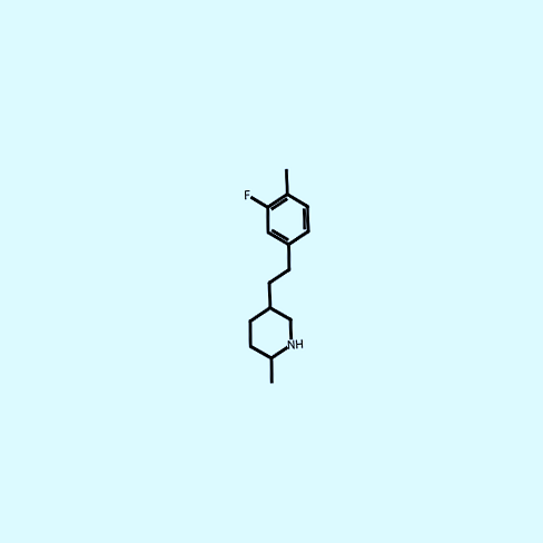 Cc1ccc(CCC2CCC(C)NC2)cc1F